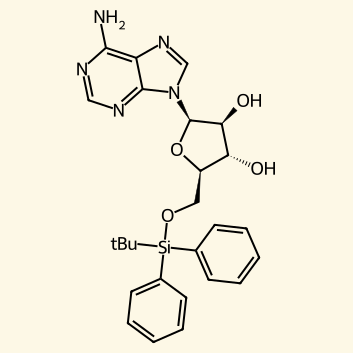 CC(C)(C)[Si](OC[C@H]1O[C@@H](n2cnc3c(N)ncnc32)[C@@H](O)[C@@H]1O)(c1ccccc1)c1ccccc1